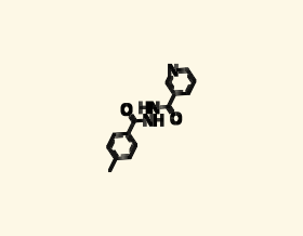 Cc1ccc(C(=O)NNC(=O)c2cccnc2)cc1